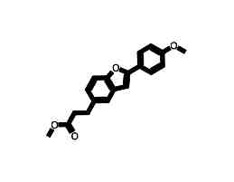 COC(=O)CCc1ccc2oc(-c3ccc(OC)cc3)cc2c1